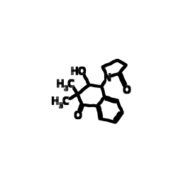 CC1(C)C(=O)c2ccccc2C(N2CCCC2=O)C1O